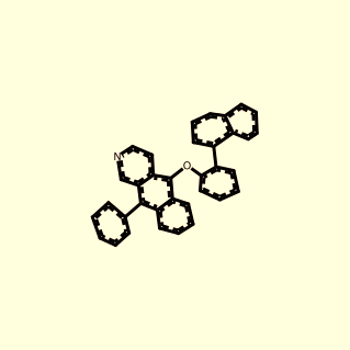 c1ccc(-c2c3ccccc3c(Oc3ccccc3-c3cccc4ccccc34)c3ccncc23)cc1